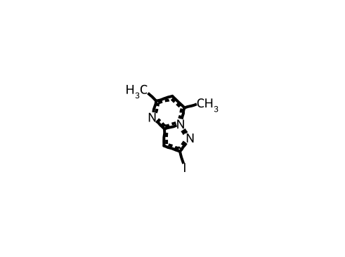 Cc1cc(C)n2nc(I)cc2n1